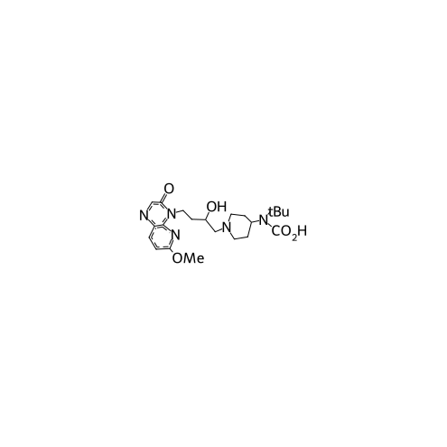 COc1ccc2ncc(=O)n(CCC(O)CN3CCC(N(C(=O)O)C(C)(C)C)CC3)c2n1